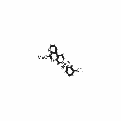 COC(=O)c1ncccc1C1=CCN(S(=O)(=O)c2cccc(C(F)(F)F)c2)CC1